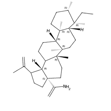 C=C(C)C1CC[C@]2(C(=C)N)CC[C@]3(C)C(CC[C@@H]4[C@@]5(C)CC[C@H](C)[C@@](C)(CC)[C@@H]5CC[C@]43C)[C@@H]12